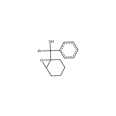 CC(C)C(O)(c1ccccc1)C12CCCCC1O2